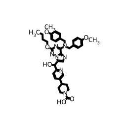 CCCCOc1nc(N(Cc2ccc(OC)cc2)Cc2ccc(OC)cc2)c2ncc(C(O)c3ccc(C4CCN(C(=O)O)CC4)cn3)n2n1